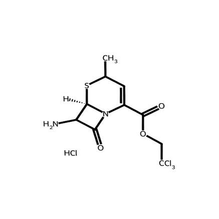 CC1C=C(C(=O)OCC(Cl)(Cl)Cl)N2C(=O)C(N)[C@H]2S1.Cl